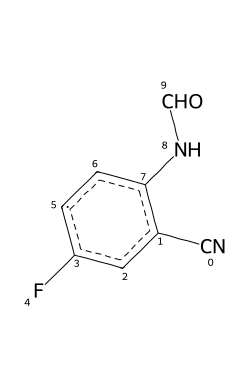 N#Cc1cc(F)[c]cc1NC=O